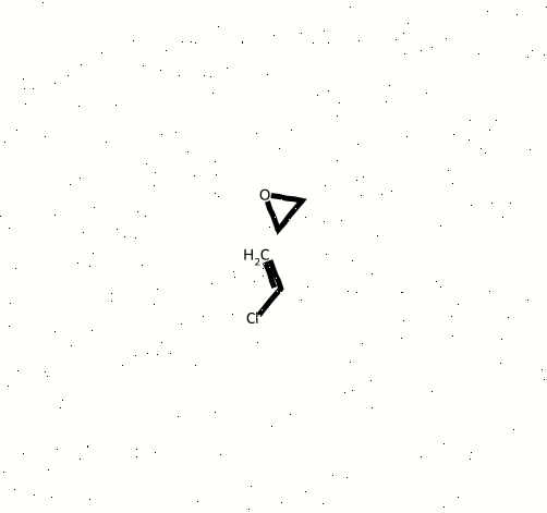 C1CO1.C=CCl